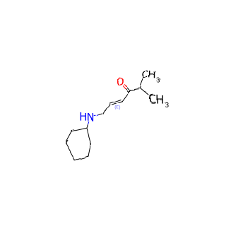 CC(C)C(=O)/C=C/CNC1CCCCC1